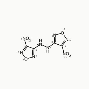 O=[N+]([O-])c1nonc1NNc1nonc1[N+](=O)[O-]